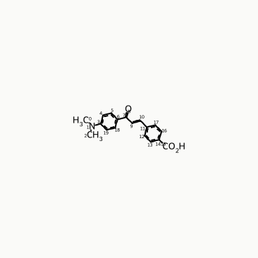 CN(C)c1ccc(C(=O)C=Cc2ccc(C(=O)O)cc2)cc1